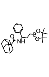 CC1(C)OB(CCC(NC(=O)C23CC4CC(CC(C4)C2)C3)c2ccccc2)OC1(C)C